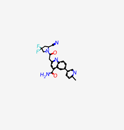 Cc1ccc(-c2ccc3nc(CC(=O)N4CC(F)(F)CC4C#N)cc(C(N)=O)c3c2)cn1